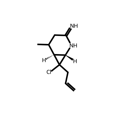 C=CCC1(Cl)[C@H]2NC(=N)CC(C)[C@@H]21